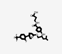 CC(C)CC(COc1ccc(-c2ccc(C(F)(F)F)cc2F)cn1)Nc1ccc(C(=O)NCCC(=O)O)cc1